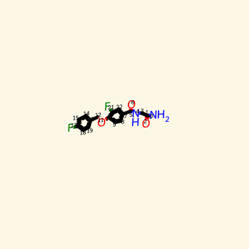 NC(=O)CNC(=O)c1ccc(OCc2ccc(F)cc2)c(F)c1